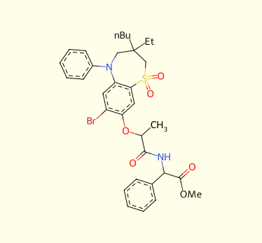 CCCCC1(CC)CN(c2ccccc2)c2cc(Br)c(OC(C)C(=O)NC(C(=O)OC)c3ccccc3)cc2S(=O)(=O)C1